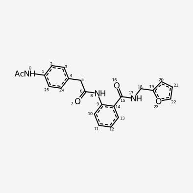 CC(=O)Nc1ccc(CC(=O)Nc2ccccc2C(=O)NCc2ccco2)cc1